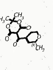 C[C@@H]1CC(C(=O)C2C(=O)OC(C)(C)OC2=O)CCO1